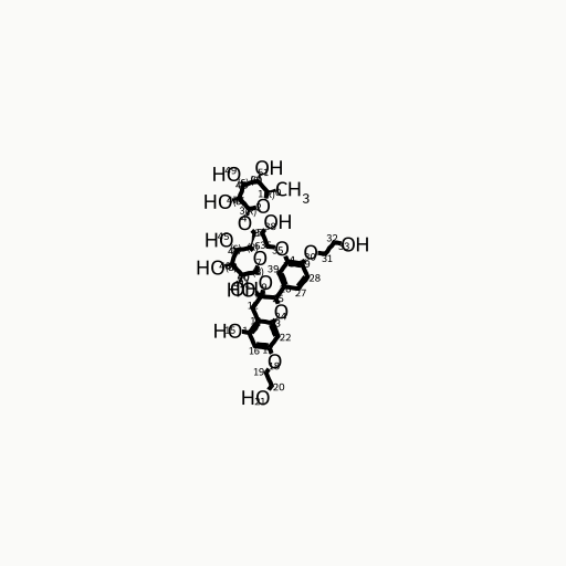 C[C@H]1O[C@@H](OC[C@H]2O[C@H](OC3(O)Cc4c(O)cc(OCCO)cc4OC3c3ccc(OCCO)c(OCCO)c3)[C@H](O)[C@@H](O)[C@@H]2O)[C@@H](O)[C@@H](O)[C@@H]1O